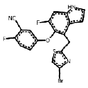 N#Cc1cc(Oc2c(F)cc3[nH]ccc3c2Cc2nc(Br)cs2)ccc1F